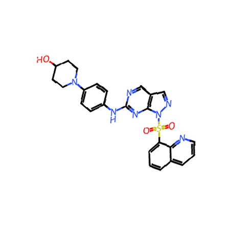 O=S(=O)(c1cccc2cccnc12)n1ncc2cnc(Nc3ccc(N4CCC(O)CC4)cc3)nc21